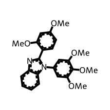 COc1ccc(-c2nc3ccccc3n2-c2cc(OC)c(OC)c(OC)c2)c(OC)c1